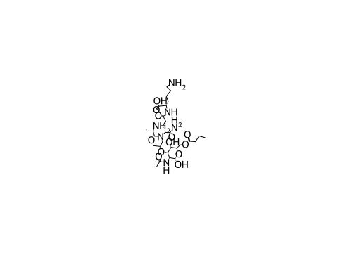 CCCC(=O)OC[C@H]1O[C@H](O)[C@H](NC(C)=O)[C@@H](OC(C)CN(C(=O)[C@H](C)N)[C@H](CCC(=O)N[C@@H](CCCCN)C(=O)O)C(N)=O)[C@@H]1O